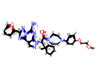 COCCOc1ccc(N2CCN(C(=O)[C@H](n3ncc4c3nc(N)n3nc(-c5ccco5)nc43)C3(C)C=CC=CC3)CC2)cc1